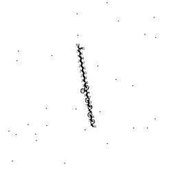 CCOCCOCCOCCOCCCC(=O)OCCCCCCCCCCCCCCCC(C)C